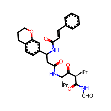 CC(C)[C@@H](C(=O)NC=O)C(=O)[C@@H](NC(=O)CC(NC(=O)/C=C/c1ccccc1)c1ccc2c(c1)OCCC2)C(C)C